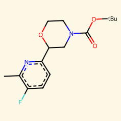 Cc1nc(C2CN(C(=O)OC(C)(C)C)CCO2)ccc1F